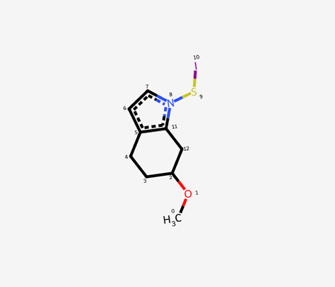 COC1CCc2ccn(SI)c2C1